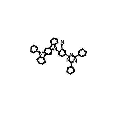 N#Cc1cc(-c2nc(-c3ccccc3)nc(-c3ccccc3)n2)ccc1-n1c2ccccc2c2cc3c(cc21)c1ccccc1n3-c1ccccc1